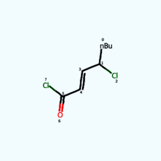 CCCCC(Cl)C=CC(=O)Cl